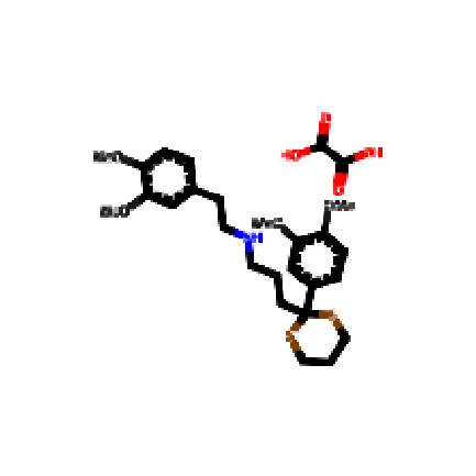 COc1ccc(CCNCCCC2(c3ccc(OC)c(OC)c3)SCCCS2)cc1OC.O=C(O)C(=O)O